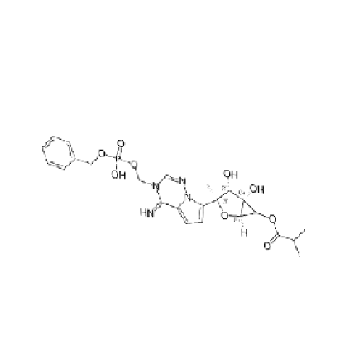 CC(C)C(=O)OC1[C@H]2O[C@@](C)(c3ccc4c(=N)n(COP(=O)(O)OCc5ccccc5)cnn34)[C@H](O)[C@@]12O